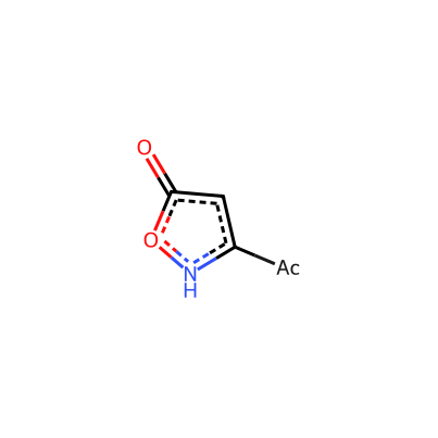 CC(=O)c1cc(=O)o[nH]1